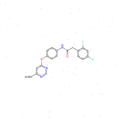 CC(=O)Nc1cc(Oc2ccc(NC(=O)Cc3ccc(F)cc3F)cc2)ncn1